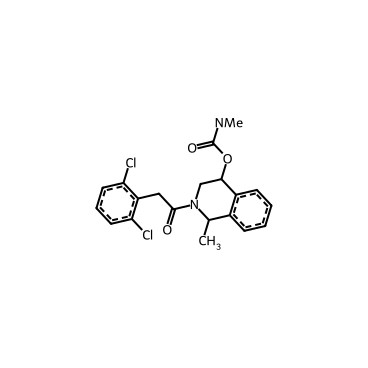 CNC(=O)OC1CN(C(=O)Cc2c(Cl)cccc2Cl)C(C)c2ccccc21